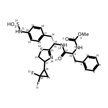 COC(=O)N[C@@H](Cc1ccccc1)C(=O)N[C@@H](Cc1ccc(NS(=O)(=O)O)cc1)C1=NC(C2CC2(F)F)CS1